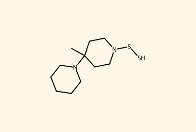 CC1(N2CCCCC2)CCN(SS)CC1